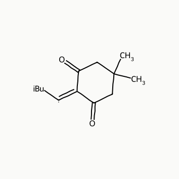 CCC(C)[C]=C1C(=O)CC(C)(C)CC1=O